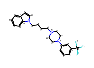 FC(F)(F)c1cccc(N2CCN(CCCCn3ccc4ccccc43)CC2)c1